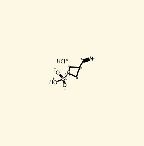 Cl.N#CC1CN(S(=O)(=O)O)C1